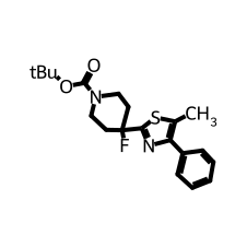 Cc1sc(C2(F)CCN(C(=O)OC(C)(C)C)CC2)nc1-c1ccccc1